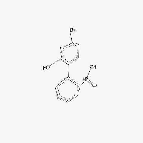 CCC(C)c1ccc(-c2ccccc2[PH](=O)O)c(O)c1